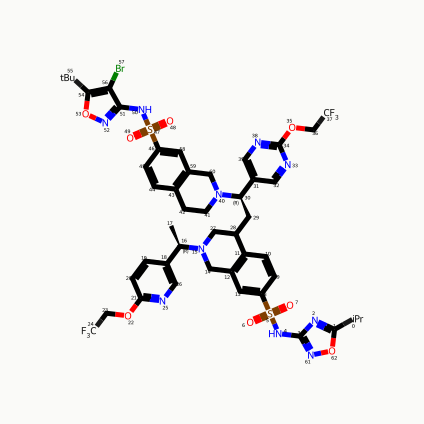 CC(C)c1nc(NS(=O)(=O)c2ccc3c(c2)CN([C@H](C)c2ccc(OCC(F)(F)F)nc2)CC3C[C@H](c2cnc(OCC(F)(F)F)nc2)N2CCc3ccc(S(=O)(=O)Nc4noc(C(C)(C)C)c4Br)cc3C2)no1